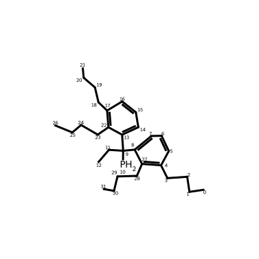 CCCCc1cccc(C(P)(CC)c2cccc(CCCC)c2CCCC)c1CCCC